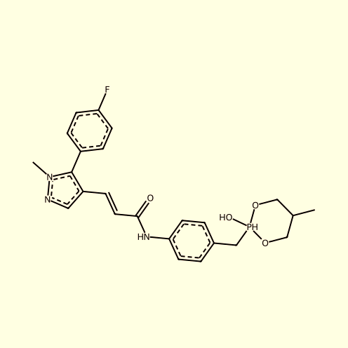 CC1CO[PH](O)(Cc2ccc(NC(=O)/C=C/c3cnn(C)c3-c3ccc(F)cc3)cc2)OC1